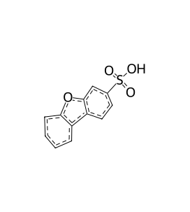 O=S(=O)(O)c1ccc2c(c1)oc1ccccc12